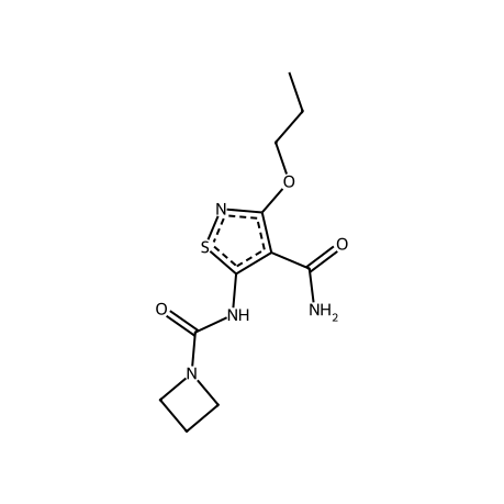 CCCOc1nsc(NC(=O)N2CCC2)c1C(N)=O